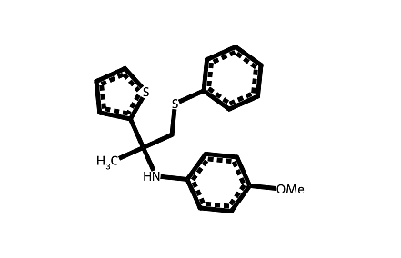 COc1ccc(NC(C)(CSc2ccccc2)c2cccs2)cc1